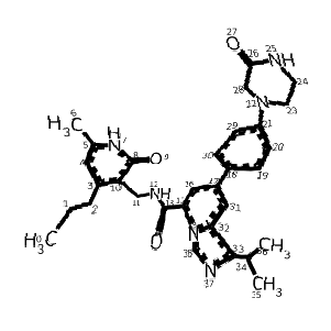 CCCc1cc(C)[nH]c(=O)c1CNC(=O)c1cc(-c2ccc(N3CCNC(=O)C3)cc2)cc2c(C(C)C)ncn12